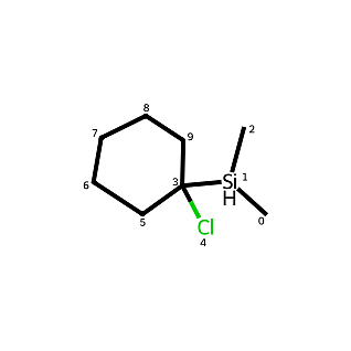 C[SiH](C)C1(Cl)CCCCC1